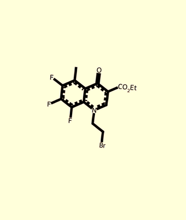 CCOC(=O)c1cn(CCBr)c2c(F)c(F)c(F)c(C)c2c1=O